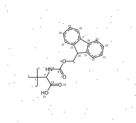 CC(C)(C)C(NC(=O)OCC1c2ccccc2-c2ccccc21)C(=O)O